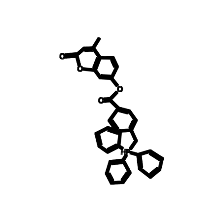 Cc1cc(=O)oc2cc(OC(=O)c3ccc(C[PH](c4ccccc4)(c4ccccc4)c4ccccc4)cc3)ccc12